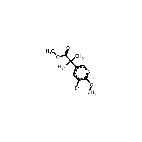 COC(=O)C(C)(C)c1cnc(OC)c(Br)c1